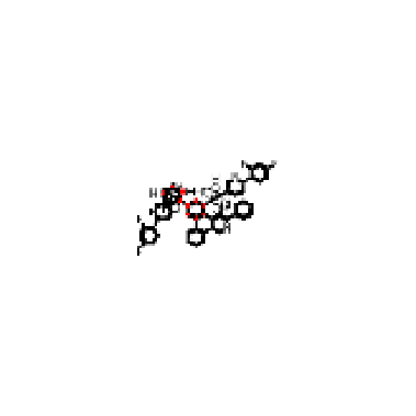 BC(O)(c1ccc(-c2ccc(F)cc2F)nc1)C(O)(O)c1cc(-c2ccccc2-c2cnc(-c3ccccc3)cc2-c2ccc(-c3ccccc3)cc2)cc(C(O)(O)C(O)(O)c2ccc(-c3ccc(F)cc3F)nc2)c1